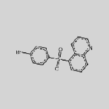 O=S(=O)(c1ccc(Br)cc1)c1cccc2ncccc12